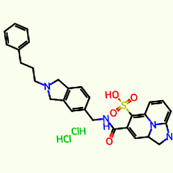 Cl.Cl.O=C(NCc1ccc2c(c1)CN(CCCc1ccccc1)C2)C1=CC2CNC3=CC=CC(=C1S(=O)(=O)O)N32